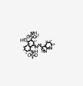 CS(=O)(=O)Nc1cccc2c(O)c(S(N)(=O)=O)cc(/N=N/c3snc4ncccc34)c12